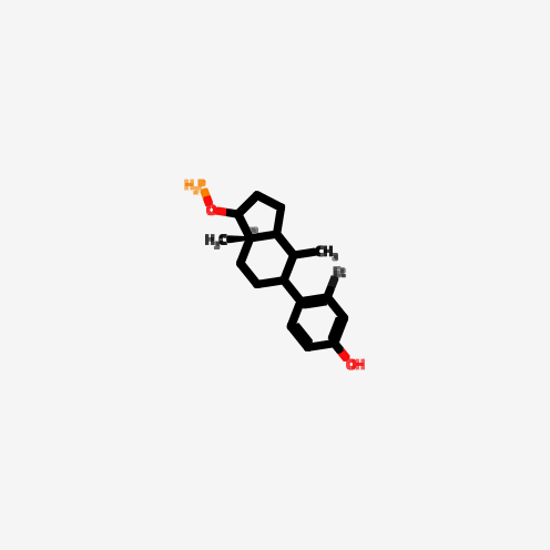 CCc1cc(O)ccc1C1CC[C@]2(C)C(OP)CCC2C1C